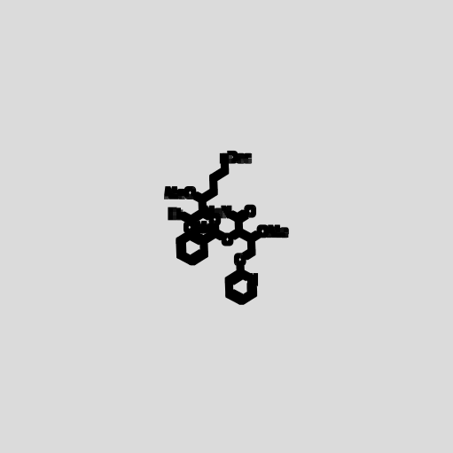 CCCCCCCCCCCCCC(OC)C(OC(OC(C(=O)NC)C(COc1ccccn1)OC)c1ccccc1)C(CC)OC